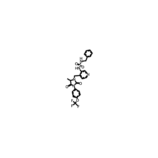 CC1C(=O)N(c2ccc(OC(F)(F)F)cc2)C(=O)N1Cc1ccncc1NS(=O)(=O)NCc1ccccc1